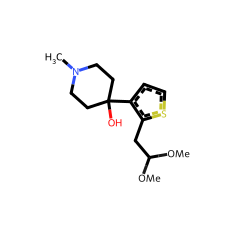 COC(Cc1sccc1C1(O)CCN(C)CC1)OC